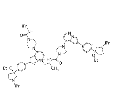 CCO[C@]1(c2ccc(-c3cc4c(N5CCN(C(=O)NC(C)C)CC5)cc[n+](CC(C)NC(=O)N5CCN(c6ccnn7cc(-c8ccc([C@]9(OCC)CCN(C(C)C)C9)cc8)cc67)CC5)n4c3)cc2)CCN(C(C)C)C1